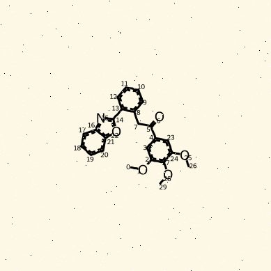 COc1cc(C(=O)Cc2ccccc2-c2nc3ccccc3o2)cc(OC)c1OC